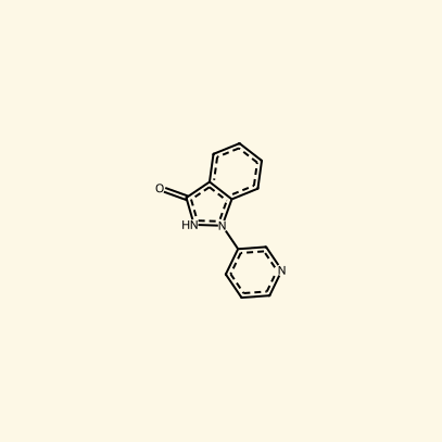 O=c1[nH]n(-c2cccnc2)c2ccccc12